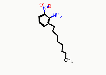 CCCCCCCCc1cccc([N+](=O)[O-])c1N